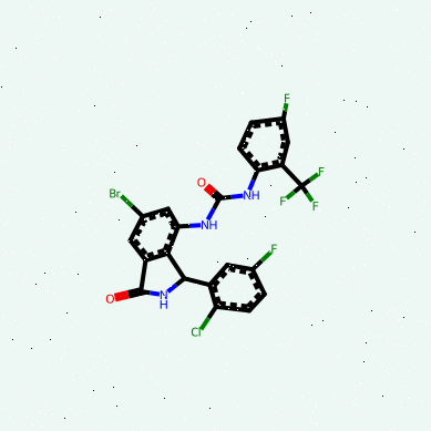 O=C(Nc1ccc(F)cc1C(F)(F)F)Nc1cc(Br)cc2c1C(c1cc(F)ccc1Cl)NC2=O